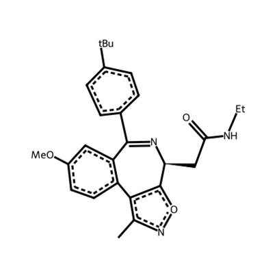 CCNC(=O)C[C@@H]1N=C(c2ccc(C(C)(C)C)cc2)c2cc(OC)ccc2-c2c(C)noc21